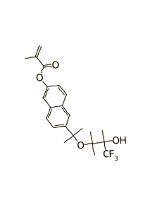 C=C(C)C(=O)Oc1ccc2cc(C(C)(C)OC(C)(C)C(C)(O)C(F)(F)F)ccc2c1